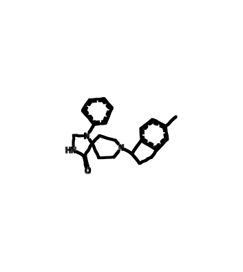 Cc1ccc2c(c1)CCC2N1CCC2(CC1)C(=O)NCN2c1ccccc1